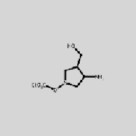 CCOC(=O)ON1CC(N)C(CO)C1